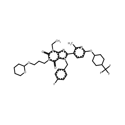 CCn1c(=O)n(CCCOC2CCCCO2)c(=O)c2c1nc(-c1ccc(OC3CCC(C(F)(F)F)CC3)nc1C)n2Cc1ccc(F)cc1